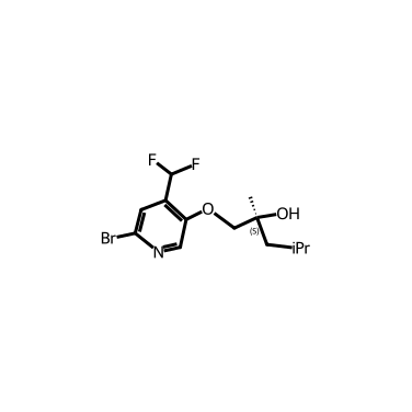 CC(C)C[C@](C)(O)COc1cnc(Br)cc1C(F)F